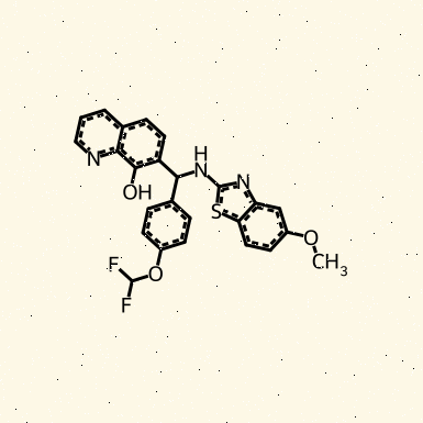 COc1ccc2sc(NC(c3ccc(OC(F)F)cc3)c3ccc4cccnc4c3O)nc2c1